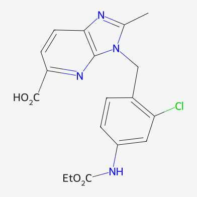 CCOC(=O)Nc1ccc(Cn2c(C)nc3ccc(C(=O)O)nc32)c(Cl)c1